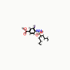 CCCCC(CCCC)S(=O)(=O)Nc1ccc(C(=O)OC)cc1I